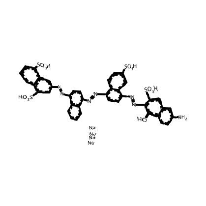 Nc1ccc2c(O)c(N=Nc3ccc(N=Nc4ccc(N=Nc5cc(S(=O)(=O)O)c6cccc(S(=O)(=O)O)c6c5)c5ccccc45)c4ccc(S(=O)(=O)O)cc34)c(S(=O)(=O)O)cc2c1.[Na].[Na].[Na].[Na]